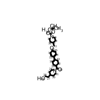 CC(C)(C)OC(=O)N1CCC(COc2ccc(C3=CCC(C(=O)N4CCC(CCO)CC4)CC3)cc2)CC1